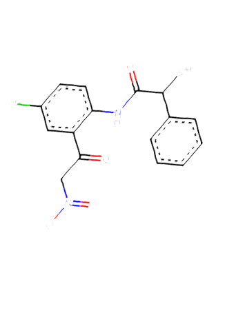 CC(C(=O)Nc1ccc(Cl)cc1C(=O)C[N+](=O)[O-])c1ccccc1